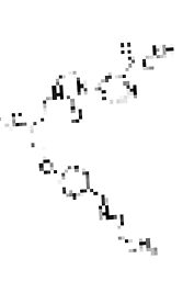 CCON=Cc1ccc(OCCC(C)CCN2CCN(c3ccnc(C(=O)OC)c3)C2=O)cc1